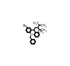 CC(C)[C](CC(c1ccccc1)c1cc(Br)ccc1OCc1ccccc1)C(C)C